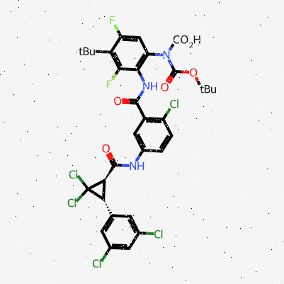 CC(C)(C)OC(=O)N(C(=O)O)c1cc(F)c(C(C)(C)C)c(F)c1NC(=O)c1cc(NC(=O)[C@H]2[C@H](c3cc(Cl)cc(Cl)c3)C2(Cl)Cl)ccc1Cl